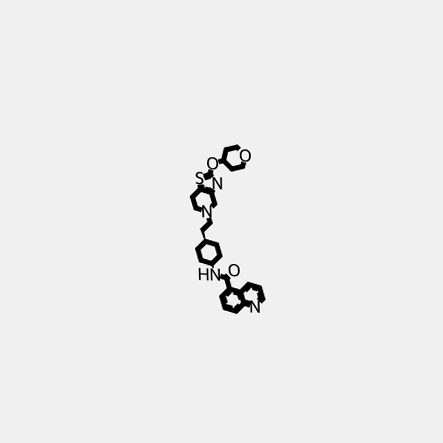 O=C(N[C@H]1CC[C@H](CCN2CCc3sc(OC4CCOCC4)nc3C2)CC1)c1cccc2ncccc12